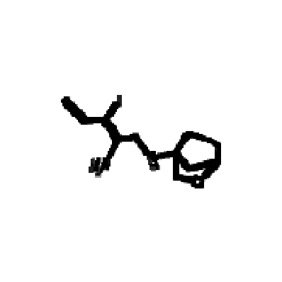 C=C/C(I)=C(\N)CNC12CCC(C1)OC2